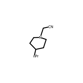 [CH2]CCC1CCN(CC#N)CC1